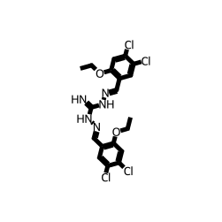 CCOc1cc(Cl)c(Cl)cc1C=NNC(=N)NN=Cc1cc(Cl)c(Cl)cc1OCC